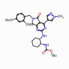 COc1ccc(CN2Cc3nc(N[C@@H]4CCCC[C@@H]4NC(=O)OC(C)(C)C)nc(-c4cnn(C)c4)c3C2=O)c(OC)c1